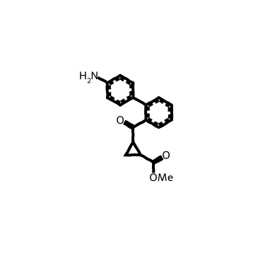 COC(=O)C1CC1C(=O)c1ccccc1-c1ccc(N)cc1